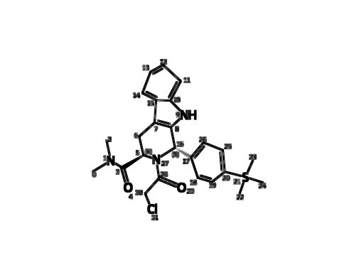 CN(C)C(=O)[C@H]1Cc2c([nH]c3ccccc23)[C@H](c2ccc(S(C)(C)C)cc2)N1C(=O)CCl